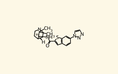 CC1(C)[C@H](NC(=O)c2cc3ccc(-n4ccnn4)cc3s2)C2CCN1CC2